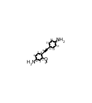 COc1cc(N)ccc1C#Cc1ccc(N)cc1